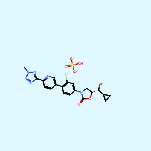 Cn1nnc(-c2ccc(-c3ccc(N4C[C@H](C(O)C5CC5)OC4=O)cc3F)cn2)n1.O=P(O)(O)O